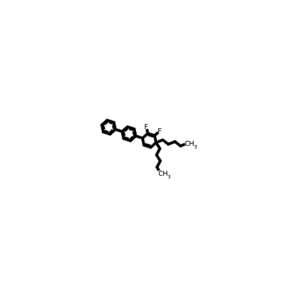 CCCCCC1(CCCCC)C=CC(c2ccc(-c3ccccc3)cc2)C(F)=C1F